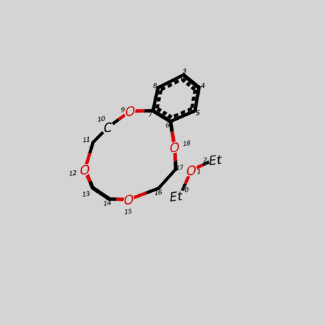 CCOCC.c1ccc2c(c1)OCCOCCOCCO2